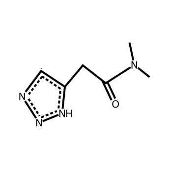 CN(C)C(=O)Cc1[c]nn[nH]1